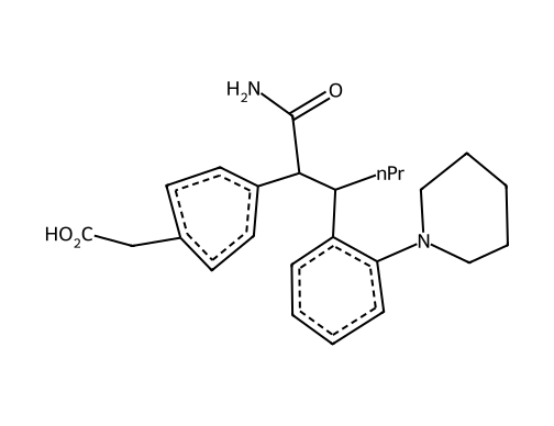 CCCC(c1ccccc1N1CCCCC1)C(C(N)=O)c1ccc(CC(=O)O)cc1